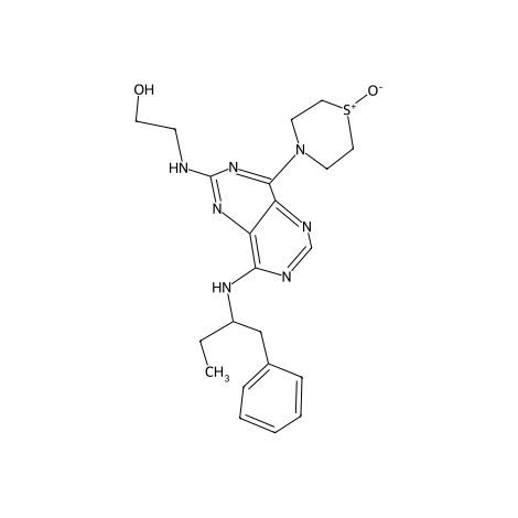 CCC(Cc1ccccc1)Nc1ncnc2c(N3CC[S+]([O-])CC3)nc(NCCO)nc12